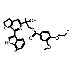 COc1cc(C(=O)NCC(C)(O)c2cc3c(c(-c4c[nH]c5c(F)cccc45)n2)OCC3)ccc1OCCF